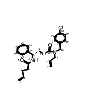 C=CCCC(=O)N[C@@H](COC(=O)N(CC=C)Cc1ccc(Cl)cc1)c1ccccc1